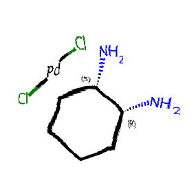 N[C@@H]1CCCC[C@@H]1N.[Cl][Pd][Cl]